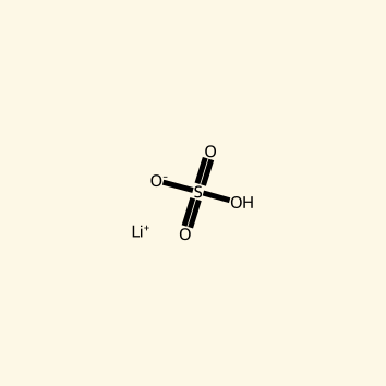 O=S(=O)([O-])O.[Li+]